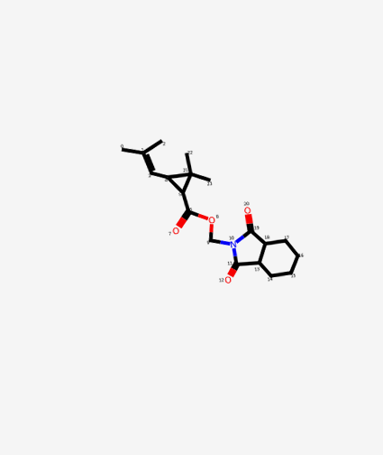 CC(C)=CC1C(C(=O)OCN2C(=O)C3CCCCC3C2=O)C1(C)C